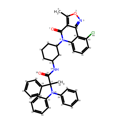 Cc1onc2c1c(=O)n(C1CCCC(NC(=O)C(C)(c3ccccc3)N(c3ccccc3)c3ccccc3)C1)c1cccc(Cl)c21